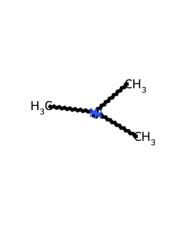 CCCCCCCCCCCCCCCCCN1C=CN(CCCCCCCCCCCCCCCCC)C1CCCCCCCCCCCCCCCC